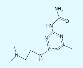 Cc1cc(NCCN(C)C)nc(NC(N)=O)n1